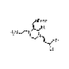 CCCCCC=C1C(CC)N(C=CC(CC)CCC)CCN1CCN